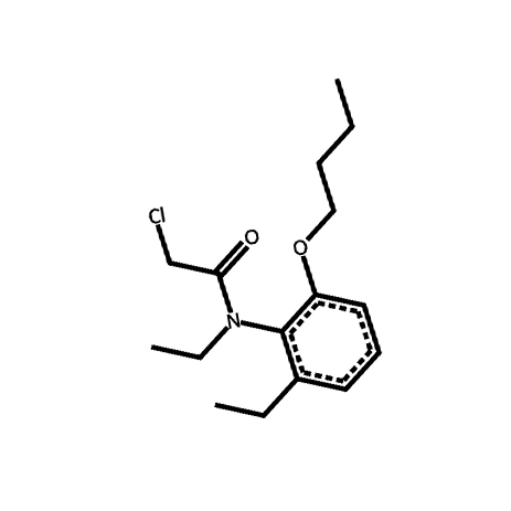 CCCCOc1cccc(CC)c1N(CC)C(=O)CCl